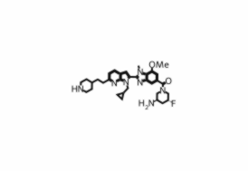 COc1cc(C(=O)N2C[C@H](N)C[C@@H](F)C2)cc2nc(-c3cc4ccc(CCC5CCNCC5)nc4n3CC3CC3)n(C)c12